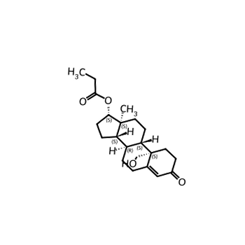 CCC(=O)O[C@H]1CC[C@H]2[C@@H]3CCC4=CC(=O)CC[C@]4(CO)[C@H]3CC[C@]12C